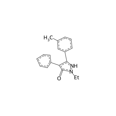 CCn1[nH]c(-c2cccc(C)c2)c(-c2ccccc2)c1=O